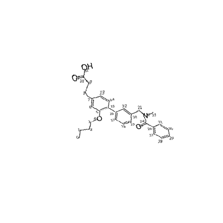 CCCCOc1cc(CCC(=O)O)ccc1-c1cccc(CN(C)C(=O)c2ccccc2)c1